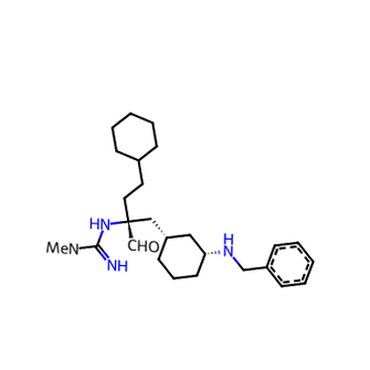 CNC(=N)N[C@](C=O)(CCC1CCCCC1)C[C@H]1CCC[C@@H](NCc2ccccc2)C1